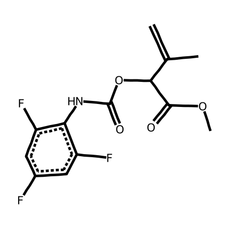 C=C(C)C(OC(=O)Nc1c(F)cc(F)cc1F)C(=O)OC